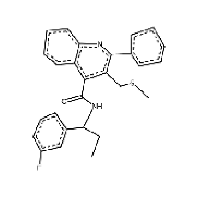 CCC(NC(=O)c1c(CSC)c(-c2ccccc2)nc2ccccc12)c1cccc(F)c1